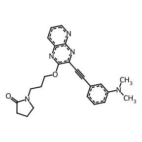 CN(C)c1cccc(C#Cc2nc3ncccc3nc2OCCCN2CCCC2=O)c1